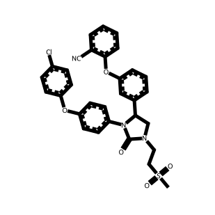 CS(=O)(=O)CCN1CC(c2cccc(Oc3ccccc3C#N)c2)N(c2ccc(Oc3ccc(Cl)cc3)cc2)C1=O